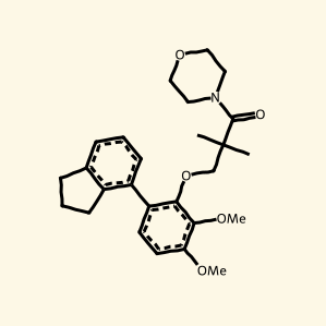 COc1ccc(-c2cccc3c2CCC3)c(OCC(C)(C)C(=O)N2CCOCC2)c1OC